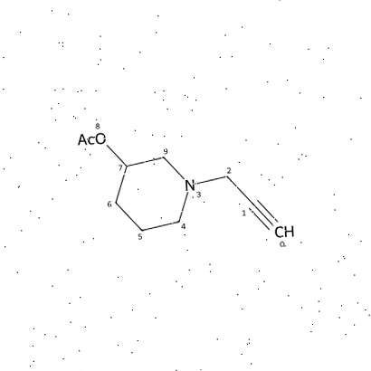 C#CCN1CCCC(OC(C)=O)C1